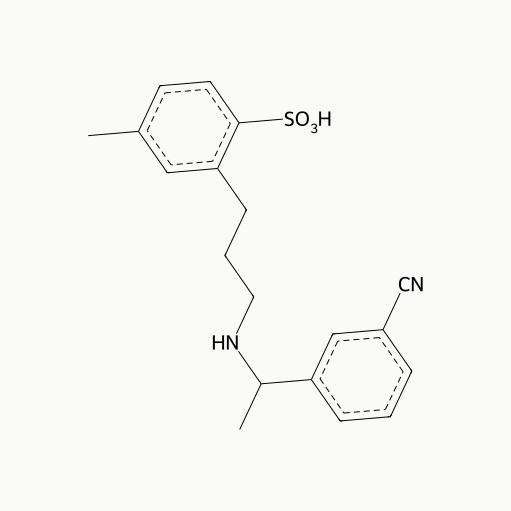 Cc1ccc(S(=O)(=O)O)c(CCCNC(C)c2cccc(C#N)c2)c1